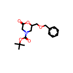 CC(C)(C)OC(=O)N1CC(=O)OC(COCc2ccccc2)C1